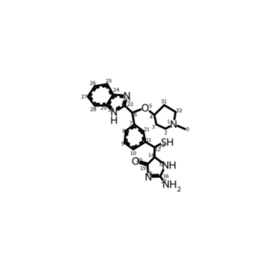 CN1CCC(OC(c2cccc(C(S)C3NC(N)=NC3=O)c2)c2nc3ccccc3[nH]2)CC1